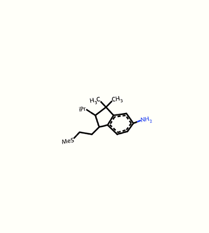 CSCCC1c2ccc(N)cc2C(C)(C)C1C(C)C